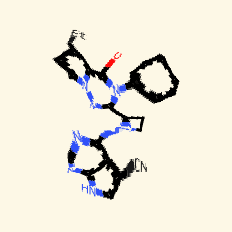 CCc1ccn2nc(C3CCN3c3ncnc4[nH]cc(C#N)c34)n(-c3ccccc3)c(=O)c12